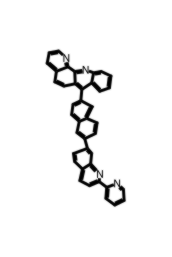 c1ccc(-c2ccc3ccc(-c4ccc5cc(-c6c7ccccc7nc7c6ccc6cccnc67)ccc5c4)cc3n2)nc1